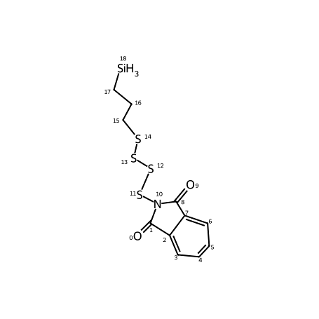 O=C1c2ccccc2C(=O)N1SSSSCCC[SiH3]